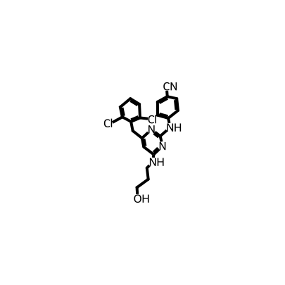 N#Cc1ccc(Nc2nc(Cc3c(Cl)cccc3Cl)cc(NCCCO)n2)cc1